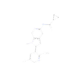 COc1ncc(Cl)cc1-c1cc2cc(NC(=O)C3CC3)ncc2n1C